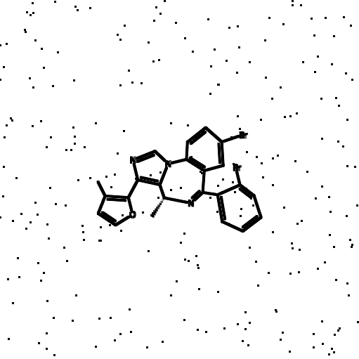 Cc1ccoc1-c1ncn2c1[C@@H](C)N=C(c1ccccc1Br)c1cc(Br)ccc1-2